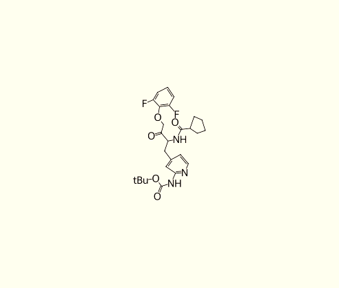 CC(C)(C)OC(=O)Nc1cc(CC(NC(=O)C2CCCC2)C(=O)COc2c(F)cccc2F)ccn1